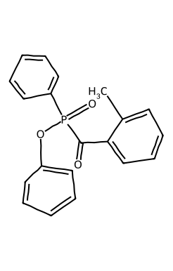 Cc1ccccc1C(=O)P(=O)(Oc1ccccc1)c1ccccc1